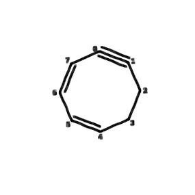 C1#CCCC=CC=C1